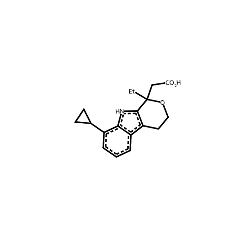 CCC1(CC(=O)O)OCCc2c1[nH]c1c(C3CC3)cccc21